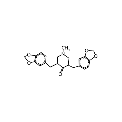 CN1CC(Cc2ccc3c(c2)OCO3)C(=O)C(Cc2ccc3c(c2)OCO3)C1